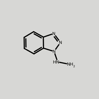 NNn1nnc2ccccc21